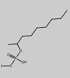 CCCCCCCC(C)OP(=O)(O)OF